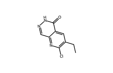 CCc1cc2c(=O)[nH]ncc2nc1Cl